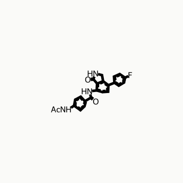 CC(=O)Nc1ccc(C(=O)Nc2ccc(-c3ccc(F)cc3)c3c2C(=O)NC3)cc1